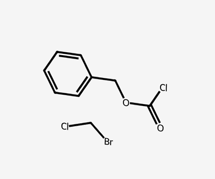 ClCBr.O=C(Cl)OCc1ccccc1